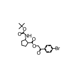 CC(C)(C)OC(=O)NC1CCCC1C(=O)OCC(=O)c1ccc(Br)cc1